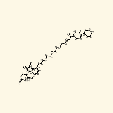 Cn1c(=O)n(C2CCC(=O)NC2=O)c2cccc(CCCOCCOCCOCCOCC(=O)N3CCN(C4CCCCC4)CC3)c21